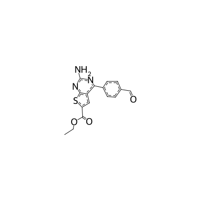 CCOC(=O)c1cc2c(-c3ccc(C=O)cc3)nc(N)nc2s1